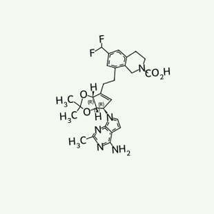 Cc1nc(N)c2ccn([C@@H]3C=C(CCc4cc(C(F)F)cc5c4CN(C(=O)O)CC5)[C@H]4OC(C)(C)O[C@H]43)c2n1